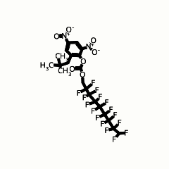 CC(C)(C)Cc1cc([N+](=O)[O-])cc([N+](=O)[O-])c1OC(=O)OCC(F)(F)C(F)(F)C(F)(F)C(F)(F)C(F)(F)C(F)(F)C(F)(F)C(F)F